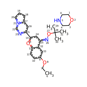 C1COCCN1.CCOc1ccc2oc(-c3cc4cccn4cn3)cc(=NOC(C)(C)C)c2c1